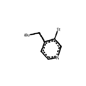 CCc1cnccc1CC(C)CC